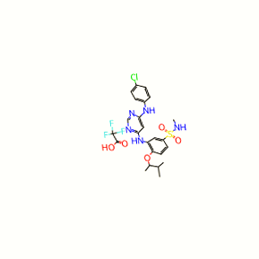 CNS(=O)(=O)c1ccc(OC(C)C(C)C)c(Nc2cc(Nc3ccc(Cl)cc3)ncn2)c1.O=C(O)C(F)(F)F